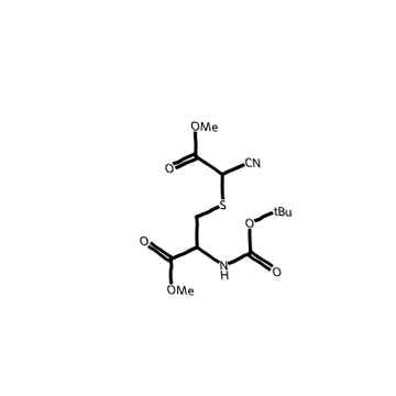 COC(=O)C(CSC(C#N)C(=O)OC)NC(=O)OC(C)(C)C